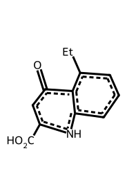 CCc1cccc2[nH]c(C(=O)O)cc(=O)c12